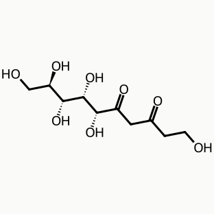 O=C(CCO)CC(=O)[C@H](O)[C@@H](O)[C@H](O)[C@H](O)CO